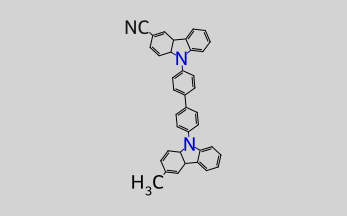 CC1=CC2c3ccccc3N(c3ccc(-c4ccc(N5c6ccccc6C6C=C(C#N)C=CC65)cc4)cc3)C2C=C1